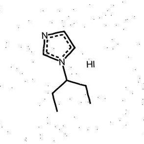 CCC(CC)n1ccnc1.I